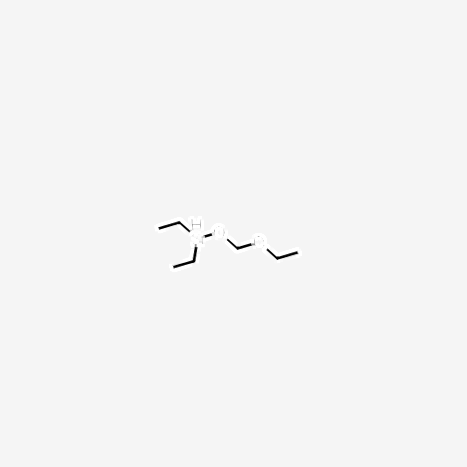 CCOCO[SiH](CC)CC